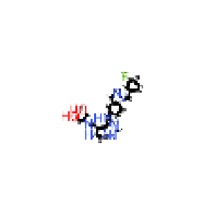 OCC(CO)NCc1ccn2ncnc(Nc3ccc4c(cnn4Cc4cccc(F)c4)c3)c12